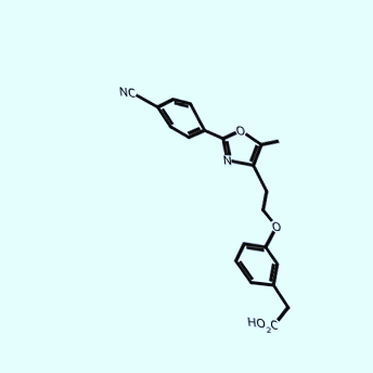 Cc1oc(-c2ccc(C#N)cc2)nc1CCOc1cccc(CC(=O)O)c1